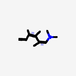 C=C/C(C)=C(C)\C(C)=C/N(C)C